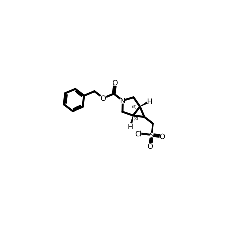 O=C(OCc1ccccc1)N1C[C@@H]2C(CS(=O)(=O)Cl)[C@@H]2C1